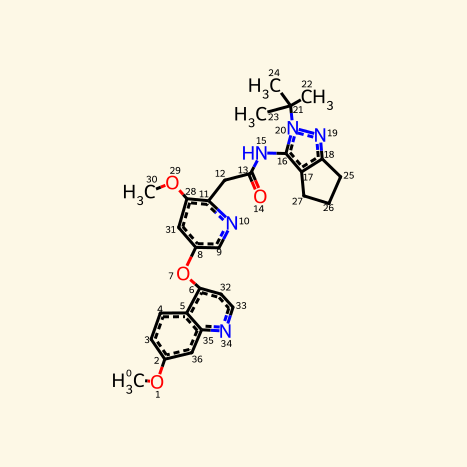 COc1ccc2c(Oc3cnc(CC(=O)Nc4c5c(nn4C(C)(C)C)CCC5)c(OC)c3)ccnc2c1